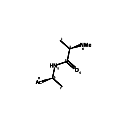 CN[C@H](C)C(=O)N[C@@H](C)C(C)=O